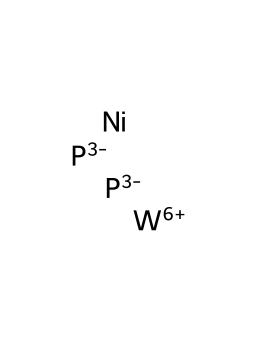 [Ni].[P-3].[P-3].[W+6]